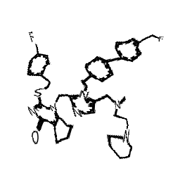 CN(CCN1CCCCC1)Cc1cnc(Cn2c(SCc3ccc(F)cc3)nc(=O)c3c2CCC3)n1Cc1ccc(-c2ccc(CF)cc2)cc1